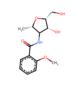 COc1ccccc1C(=O)NC1[C@H](C)O[C@H](CO)[C@@H]1O